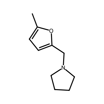 Cc1ccc(CN2CCCC2)o1